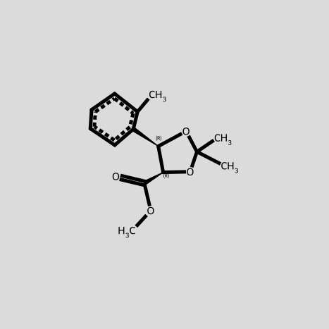 COC(=O)[C@@H]1OC(C)(C)O[C@@H]1c1ccccc1C